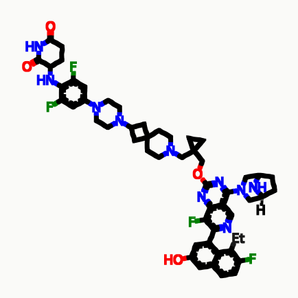 CCc1c(F)ccc2cc(O)cc(-c3ncc4c(N5CC6CC[C@@H](C5)N6)nc(OCC5(CN6CCC7(CC6)CC(N6CCN(c8cc(F)c(NC9CCC(=O)NC9=O)c(F)c8)CC6)C7)CC5)nc4c3F)c12